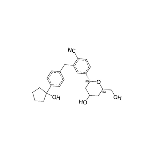 N#Cc1ccc([C@H]2CC(O)C[C@@H](CO)O2)cc1Cc1ccc(C2(O)CCCC2)cc1